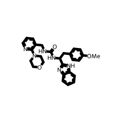 COc1ccc(CC(NC(=O)NCc2cccnc2N2CCOCC2)c2nc3ccccc3[nH]2)cc1